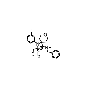 C=CC(=O)N(c1cccc(Cl)c1)C1(C(=O)NCc2ccccc2)CCOCC1